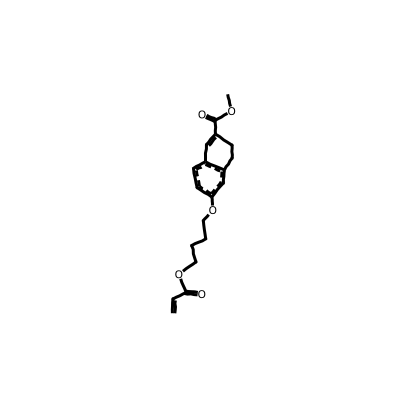 C=CC(=O)OCCCCOc1ccc2c(c1)CCC(C(=O)OC)=C2